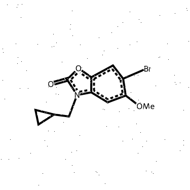 COc1cc2c(cc1Br)oc(=O)n2CC1CC1